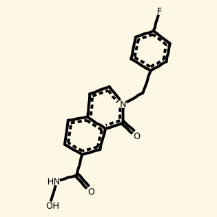 O=C(NO)c1ccc2ccn(Cc3ccc(F)cc3)c(=O)c2c1